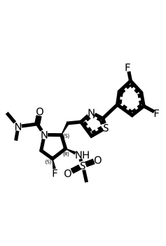 CN(C)C(=O)N1C[C@H](F)[C@H](NS(C)(=O)=O)[C@@H]1Cc1csc(-c2cc(F)cc(F)c2)n1